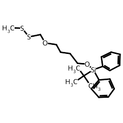 CSSCOCCCCO[Si](c1ccccc1)(c1ccccc1)C(C)(C)C